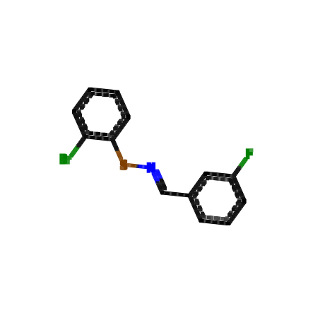 Fc1cccc(/C=N/Sc2ccccc2Br)c1